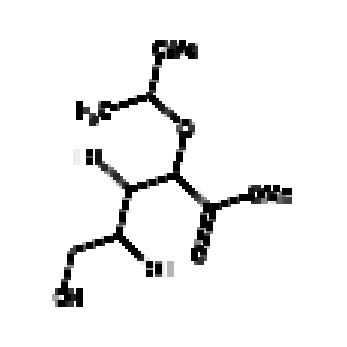 COC(=O)C(OC(C)OC)C(O)C(O)CO